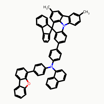 Cc1ccc2c(c1)c1cc(C)cc3c1n2-c1ccc(-c2ccc(N(c4ccc(-c5cccc6c5oc5ccccc56)cc4)c4cccc5ccccc45)cc2)cc1C31c2ccccc2-c2ccccc21